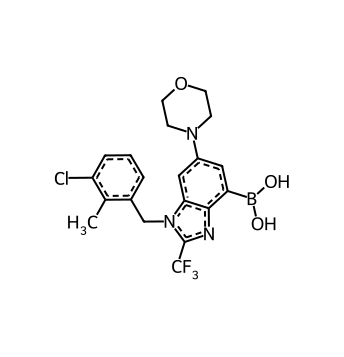 Cc1c(Cl)cccc1Cn1c(C(F)(F)F)nc2c(B(O)O)cc(N3CCOCC3)cc21